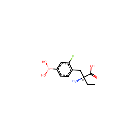 CC[C@](N)(Cc1ccc(B(O)O)cc1F)C(=O)O